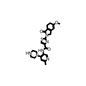 COC1=CC2=C(CC1)C(=O)N(c1nc(C(=O)Nc3cnc(C)cc3N3CCNCC3)cs1)C2